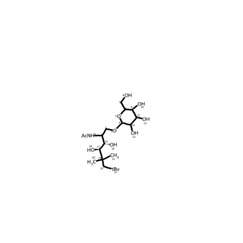 CC(=O)NC(COC1OC(CO)C(O)C(O)C1O)[C@H](O)[C@H](O)C(C)(C)CC(C)(C)C